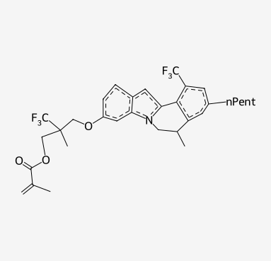 C=C(C)C(=O)OCC(C)(COc1ccc2cc3n(c2c1)CC(C)c1cc(CCCCC)cc(C(F)(F)F)c1-3)C(F)(F)F